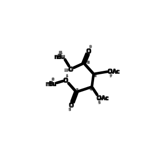 CCCCOC(=O)C(OC(C)=O)C(OC(C)=O)C(=O)OCCCC